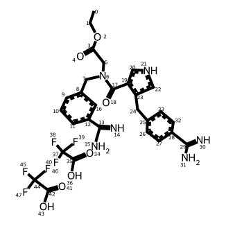 CCOC(=O)CN(Cc1cccc(C(=N)N)c1)C(=O)c1c[nH]cc1Cc1ccc(C(=N)N)cc1.O=C(O)C(F)(F)F.O=C(O)C(F)(F)F